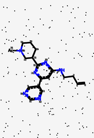 C=CCCNc1cc(-c2cncnc2)nc(C2CCCN(C(C)=O)C2)n1